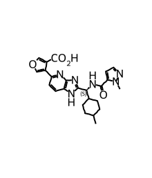 CC1CCC([C@H](NC(=O)c2ccnn2C)c2nc3nc(-c4cocc4C(=O)O)ccc3[nH]2)CC1